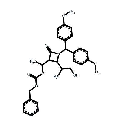 COc1ccc(C(c2ccc(OC)cc2)N2C(=O)C(C(C)OC(=O)OCc3ccccc3)C2C(C)CO)cc1